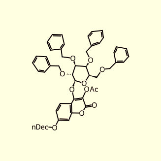 CCCCCCCCCCOc1ccc2c(O[C@@H]3O[C@H](COCc4ccccc4)[C@H](OCc4ccccc4)[C@H](OCc4ccccc4)[C@H]3OCc3ccccc3)c(OC(C)=O)c(=O)oc2c1